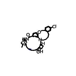 CC(C)[C@H]1C/C=C\C[C@H](O)[C@@H]2CC[C@H]2CN2CCCCc3cc(Cl)ccc3COc3ccc(cc32)C(=O)NS1(=O)=O